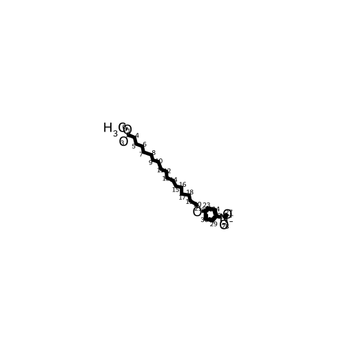 COC(=O)CCCCCCCCCCCCCCCCCOc1ccc([N+](=O)[O-])cc1